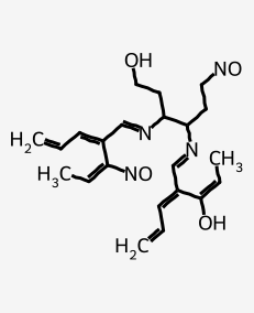 C=C/C=C(/C=N/C(CCN=O)C(CCO)/N=C/C(=C/C=C)C(=C\C)/N=O)C(\O)=C/C